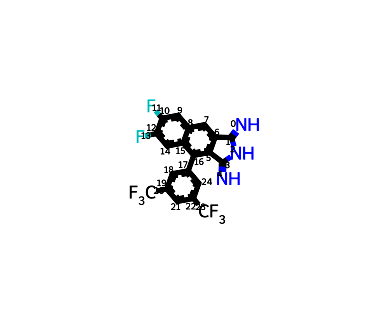 N=C1NC(=N)c2c1cc1cc(F)c(F)cc1c2-c1cc(C(F)(F)F)cc(C(F)(F)F)c1